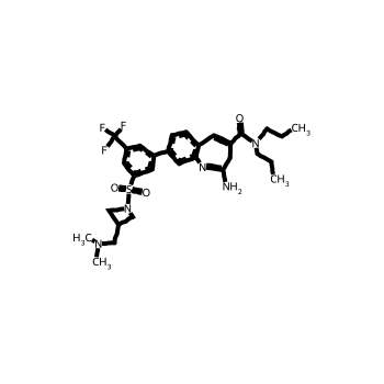 CCCN(CCC)C(=O)C1=Cc2ccc(-c3cc(C(F)(F)F)cc(S(=O)(=O)N4CC(CN(C)C)C4)c3)cc2N=C(N)C1